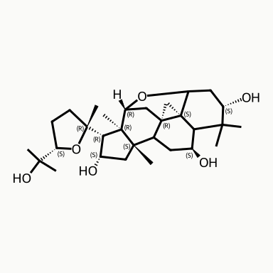 CC(C)(O)[C@@H]1CC[C@](C)([C@H]2[C@@H](O)C[C@@]3(C)C4C[C@H](O)C5C(C)(C)[C@@H](O)CC6O[C@H](C[C@]47C[C@]657)[C@]23C)O1